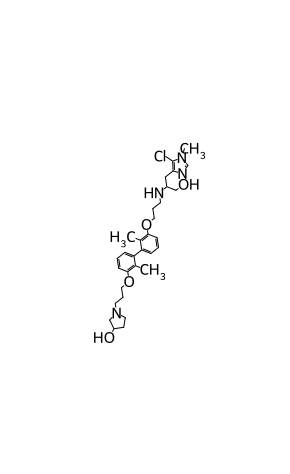 Cc1c(OCCCNC(CO)Cc2ncn(C)c2Cl)cccc1-c1cccc(OCCCN2CCC(O)C2)c1C